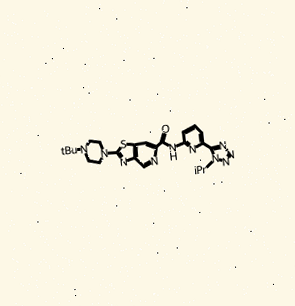 CC(C)n1nnnc1-c1cccc(NC(=O)c2cc3sc(N4CCN(C(C)(C)C)CC4)nc3cn2)n1